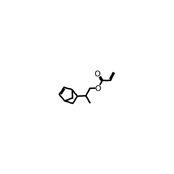 C=CC(=O)OCC(C)C1CC2C=CC1C2